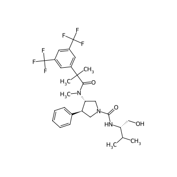 CC(C)[C@@H](CO)NC(=O)N1C[C@@H](N(C)C(=O)C(C)(C)c2cc(C(F)(F)F)cc(C(F)(F)F)c2)[C@H](c2ccccc2)C1